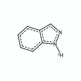 [2H]n1ncc2ccccc21